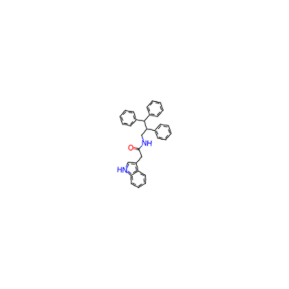 O=C(Cc1c[nH]c2ccccc12)NCC(c1ccccc1)C(c1ccccc1)c1ccccc1